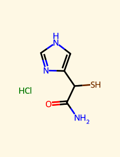 Cl.NC(=O)C(S)c1c[nH]cn1